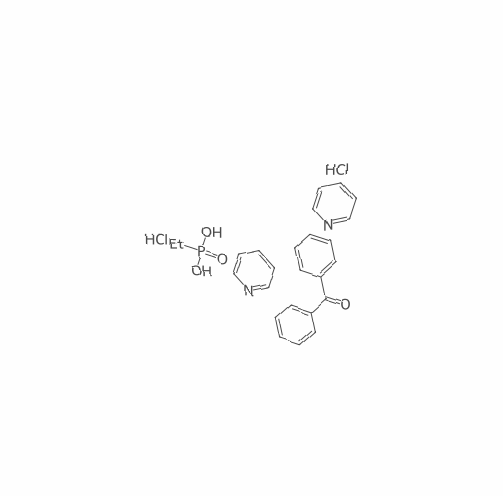 CCP(=O)(O)O.Cl.Cl.O=C(c1ccccc1)c1ccccc1.c1ccncc1.c1ccncc1